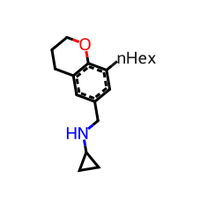 CCCCCCc1cc(CNC2CC2)cc2c1OCCC2